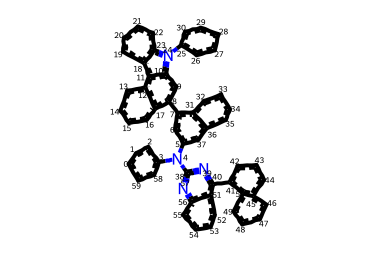 c1ccc(N(c2cc(-c3cc4c(c5ccccc35)c3ccccc3n4-c3ccccc3)c3ccccc3c2)c2nc(-c3cccc4ccccc34)c3ccccc3n2)cc1